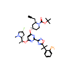 C#CC[C@@H]1C[C@@H](Oc2cc(O[C@@H](C)[C@@H]3C[C@@H](F)CN3C)nc(-c3noc(C(C)(C)c4ccccc4P)n3)n2)CCN1C(=O)OC(C)(C)C